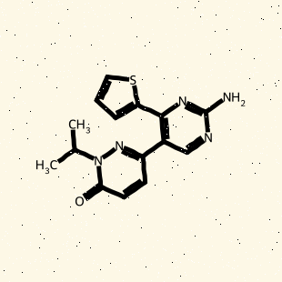 CC(C)n1nc(-c2cnc(N)nc2-c2cccs2)ccc1=O